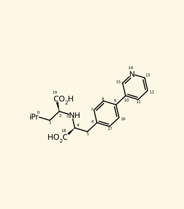 CC(C)C[C@H](N[C@@H](Cc1ccc(-c2cccnc2)cc1)C(=O)O)C(=O)O